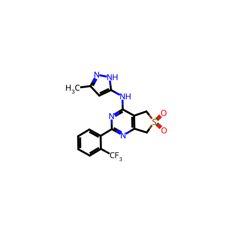 Cc1cc(Nc2nc(-c3ccccc3C(F)(F)F)nc3c2CS(=O)(=O)C3)[nH]n1